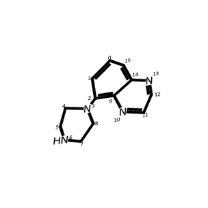 c1cc(N2CCNCC2)c2nccnc2c1